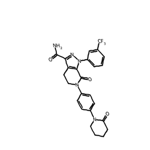 NC(=O)c1nn(-c2cccc(C(F)(F)F)c2)c2c1CCN(c1ccc(N3CCCCC3=O)cc1)C2=O